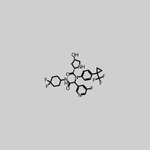 O=C(NC1CCC(F)(F)CC1)C(c1cncc(F)c1)N(C(=O)[C@H]1C[C@@H](O)CN1)c1ccc(C2(C(F)(F)F)CC2)cc1